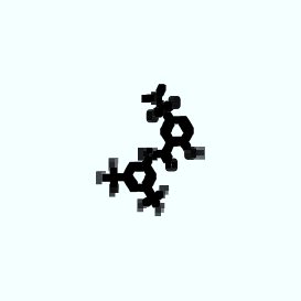 CN(C)S(=O)(=O)c1ccc(O)c(C(=O)Nc2cc(C(F)(F)F)cc(C(F)(F)F)c2)c1